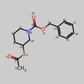 CC(=O)SC1CCCN(C(=O)OCc2ccccc2)C1